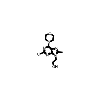 Cc1nc2c(N3CCOCC3)nc(Cl)nc2n1CCO